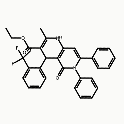 CCOC(=O)C1=C(C)Nc2cc(-c3ccccc3)n(-c3ccccc3)c(=O)c2C1c1ccccc1C(F)(F)F